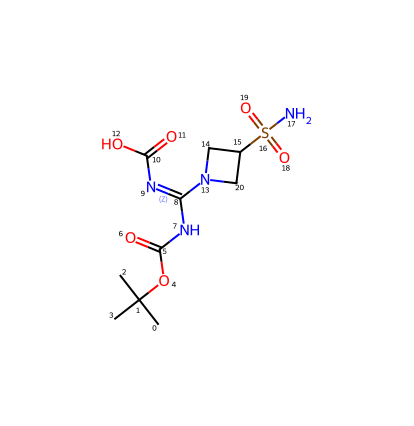 CC(C)(C)OC(=O)N/C(=N/C(=O)O)N1CC(S(N)(=O)=O)C1